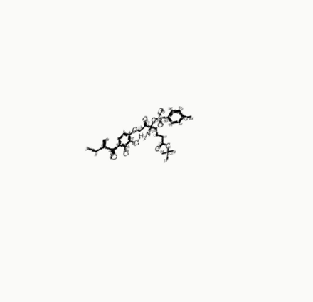 C=C(CC)C(=O)c1ccc(OCC(=O)C(N)(CCCC(=O)OC(C)(C)C)OS(=O)(=O)c2ccc(C)cc2)c(Cl)c1Cl